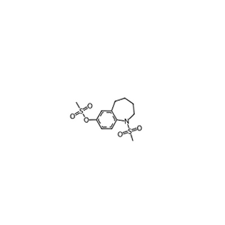 CS(=O)(=O)Oc1ccc2c(c1)CCCCN2S(C)(=O)=O